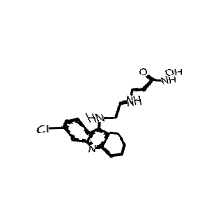 O=C(CCNCCNc1c2c(nc3cc(Cl)ccc13)CCCC2)NO